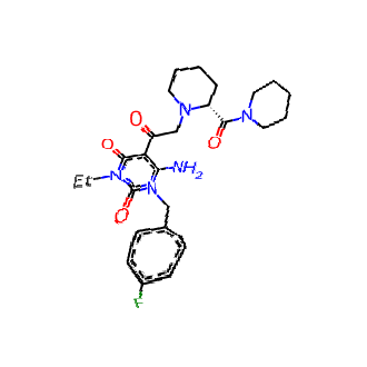 CCn1c(=O)c(C(=O)CN2CCCC[C@@H]2C(=O)N2CCCCC2)c(N)n(Cc2ccc(F)cc2)c1=O